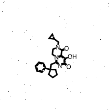 O=C1c2c(O)c(=O)nc(CC3(c4ccccc4)CCCC3)n2CCN1CC1CC1